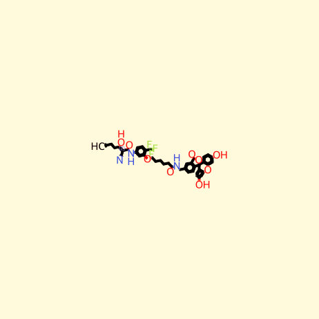 C#CCC/C(O)=C(\C#N)C(=O)Nc1ccc(C(F)(F)F)c(OCCCCCC(=O)NCc2ccc3c(c2)C(=O)OC32c3ccc(O)cc3Oc3cc(O)ccc32)c1